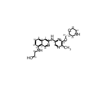 Cc1ncc(Nc2cc3cccc(NCCO)c3cn2)nc1OC[C@H]1CNCCO1